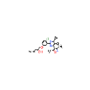 CNC[C@@H](O)COc1ccc(Cl)c(-c2nc(-c3c(C)noc3C)c(C)c(C3CC3)n2)c1